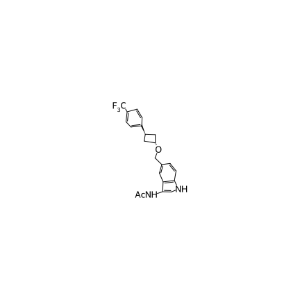 CC(=O)Nc1c[nH]c2ccc(CO[C@H]3C[C@H](c4ccc(C(F)(F)F)cc4)C3)cc12